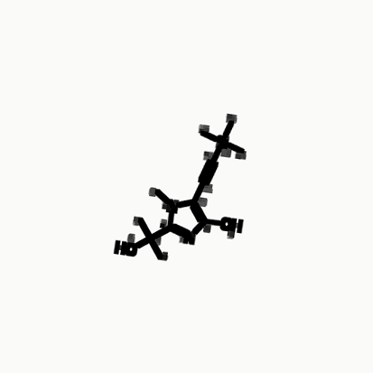 Cn1c(C(C)(C)O)nc(O)c1C#C[Si](C)(C)C